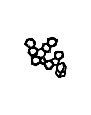 c1ccc2c(c1)-c1c(ccc3c4ccccc4n(-c4nc5ccccc5nc4-c4cccc5ccccc45)c13)C21C2CC3CC(C2)CC1C3